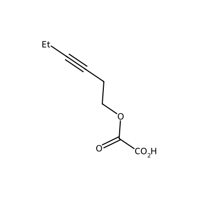 CCC#CCCOC(=O)C(=O)O